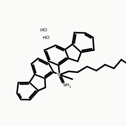 CCCCCCC[CH2][Ti]([CH3])(=[SiH2])([c]1cccc2c1Cc1ccccc1-2)[c]1cccc2c1Cc1ccccc1-2.Cl.Cl